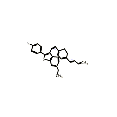 C=C/C=C/C1=CC=C(/C=C\c2c(-c3ccc(F)cc3)sc3cc(CC)ccc23)CC1